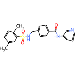 Cc1ccc(C)c(S(=O)(=O)NCc2ccc(C(=O)Nc3cccnc3)cc2)c1